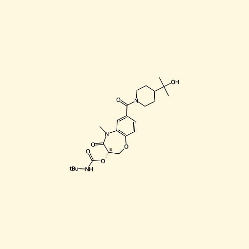 CN1C(=O)[C@@H](OC(=O)NC(C)(C)C)COc2ccc(C(=O)N3CCC(C(C)(C)O)CC3)cc21